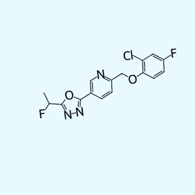 CC(F)c1nnc(-c2ccc(COc3ccc(F)cc3Cl)nc2)o1